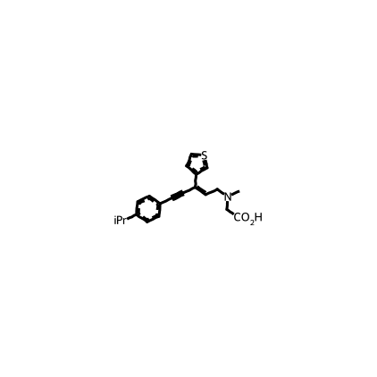 CC(C)c1ccc(C#CC(=CCN(C)CC(=O)O)c2ccsc2)cc1